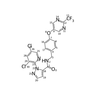 O=C(NCc1ccc(Oc2cnc(C(F)(F)F)nc2)cc1)c1ccnn1-c1ncc(Cl)cc1Cl